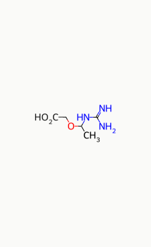 CC(NC(=N)N)OCC(=O)O